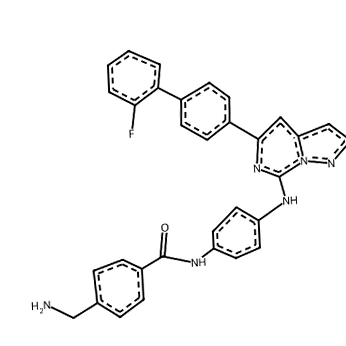 NCc1ccc(C(=O)Nc2ccc(Nc3nc(-c4ccc(-c5ccccc5F)cc4)cc4ccnn34)cc2)cc1